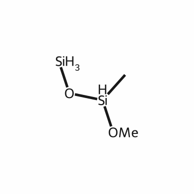 CO[SiH](C)O[SiH3]